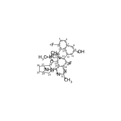 C#Cc1c(F)ccc2cc(O)cc(-c3nc(OC(C)C)c4c(N5CC6CCC(C5)N6)nc(C)nc4c3F)c12